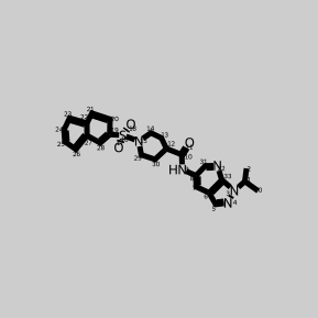 CC(C)n1ncc2cc(NC(=O)C3CCN(S(=O)(=O)c4ccc5ccccc5c4)CC3)cnc21